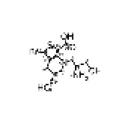 Cl.NC(CO)CN1C[C@@H](F)Cc2c(Br)sc(C(=O)O)c21